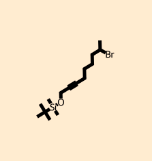 CC(Br)CCCCC#CCO[Si](C)(C)C(C)(C)C